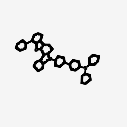 c1ccc(-c2cccc3c2oc2c3ccc3c2c2ccccc2n3-c2ccc(-c3ccc(N(c4ccccc4)c4ccccc4)cc3)cc2)cc1